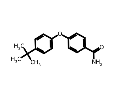 CC(C)(C)c1ccc(Oc2ccc(C(N)=O)cc2)cc1